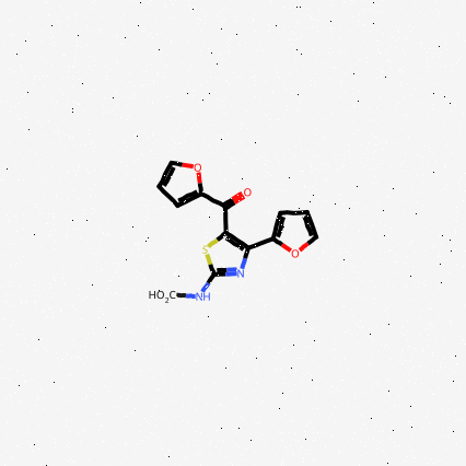 O=C(O)Nc1nc(-c2ccco2)c(C(=O)c2ccco2)s1